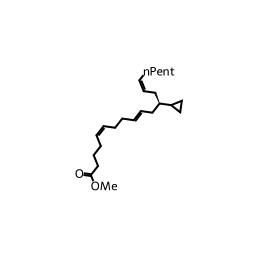 CCCCC/C=C\C[C@H](C/C=C/CC/C=C\CCCC(=O)OC)C1CC1